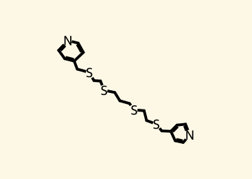 c1cc(CSCCSCCCSCCSCc2ccncc2)ccn1